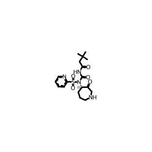 CC(C)(C)CC(=O)NC(=O)N([C@H]1CCCNCC1=O)S(=O)(=O)c1ccccn1